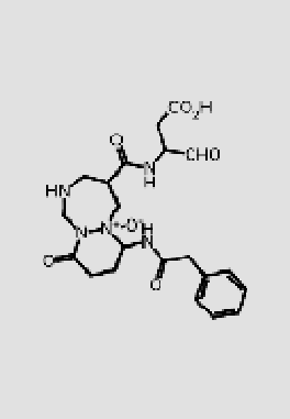 O=CC(CC(=O)O)NC(=O)C1CNCN2C(=O)CCC(NC(=O)Cc3ccccc3)[N+]2([O-])C1